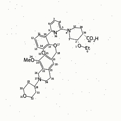 CCO[C@@H]1CN(c2cccc(-c3cccc(Cl)c3OCc3cc4c(c(OC)c3)CN(C3CCOCC3)CC4)n2)CC[C@@H]1C(=O)O